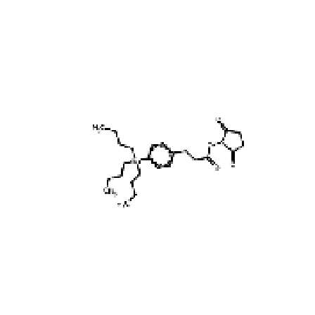 CCC[CH2][Sn]([CH2]CCC)([CH2]CCC)[c]1ccc(CCC(=O)ON2C(=O)CCC2=O)cc1